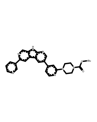 CC(C)(C)OC(=O)N1CCN(c2cc(-c3cnc4[nH]c5cnc(-c6cccnc6)cc5c4c3)ccn2)CC1